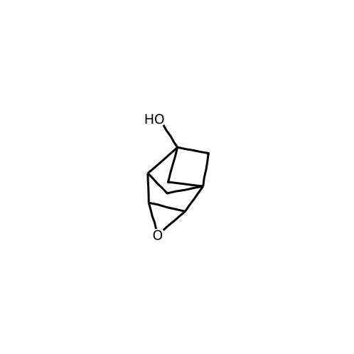 OC12CC3(CC1C1OC13)C2